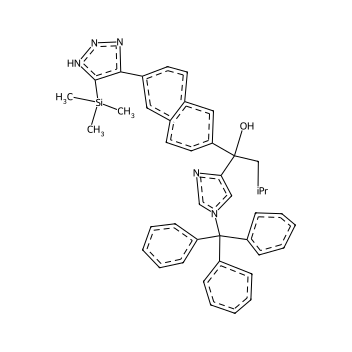 CC(C)CC(O)(c1ccc2cc(-c3nn[nH]c3[Si](C)(C)C)ccc2c1)c1cn(C(c2ccccc2)(c2ccccc2)c2ccccc2)cn1